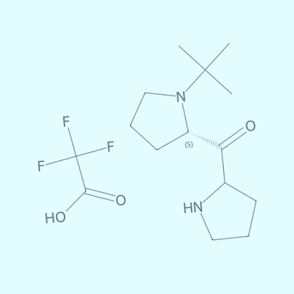 CC(C)(C)N1CCC[C@H]1C(=O)C1CCCN1.O=C(O)C(F)(F)F